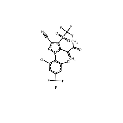 C=C(C(C)=O)c1c(S(=O)(=O)C(F)(F)F)c(C#N)nn1-c1c(Cl)cc(C(F)(F)F)cc1Cl